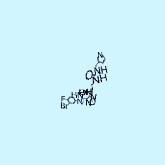 O=C(NCCNc1nonc1/C(=N/c1ccc(F)c(Br)c1)NO)NCc1cccnc1